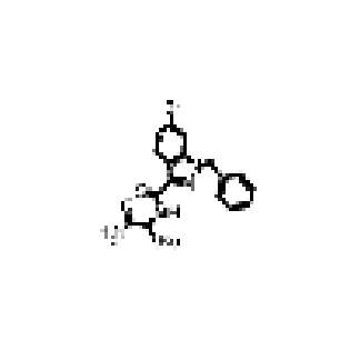 CC(C)(C)C(NC(=O)c1nn(Cc2ccccc2)c2cc(Br)ccc12)C(N)=O